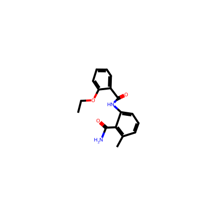 CCOc1ccccc1C(=O)Nc1cccc(C)c1C(N)=O